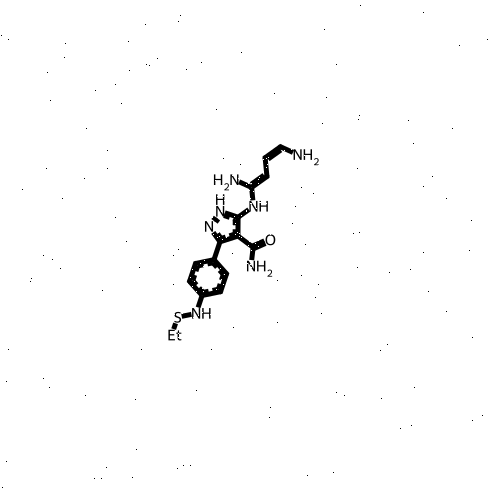 CCSNc1ccc(-c2n[nH]c(N/C(N)=C/C=C\N)c2C(N)=O)cc1